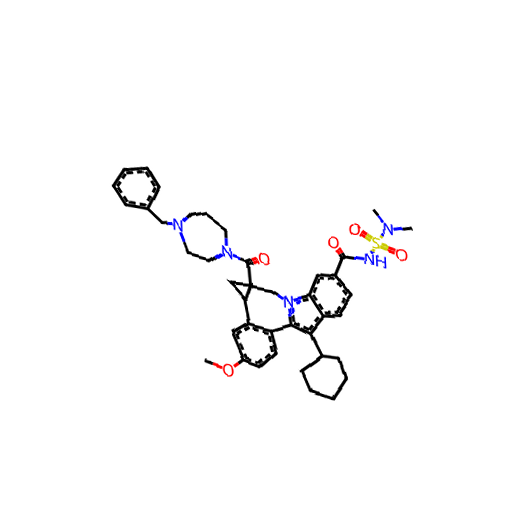 COc1ccc2c(c1)C1CC1(C(=O)N1CCCN(Cc3ccccc3)CC1)Cn1c-2c(C2CCCCC2)c2ccc(C(=O)NS(=O)(=O)N(C)C)cc21